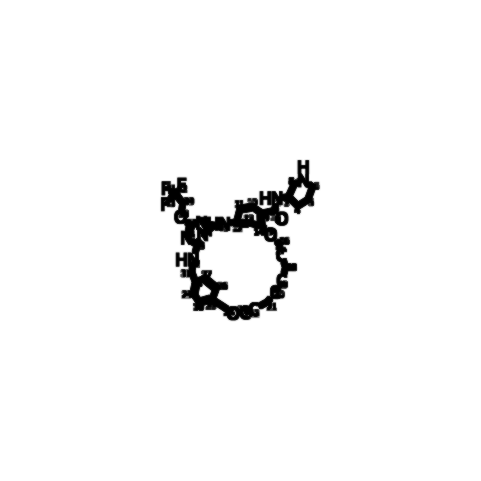 O=C(NC1CCCNC1)c1ccc2cc1OCCCCCCCCOc1ccc(cc1)CNc1nc(nc(OCC(F)(F)F)n1)N2